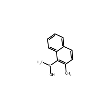 Cc1ccc2ccccc2c1N(C)O